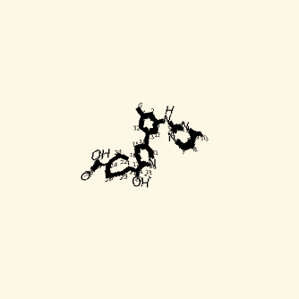 Cc1cc(Nc2nccc(C)n2)cc(-c2ccc([C@@](C)(O)[C@H]3CC[C@H](C(=O)O)CC3)nc2)c1